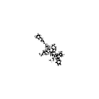 CCC(NC(=O)[C@@H]1CC2CCCCC2N1C(=O)[C@H](CCS(C)(=O)=O)NC(=O)CCCCCOCc1ccccc1)P(=O)(Oc1ccccc1)Oc1ccccc1